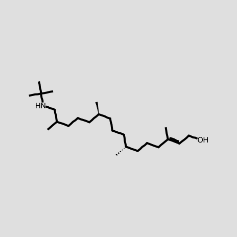 C/C(=C\CO)CCC[C@H](C)CCC[C@H](C)CCCC(C)CNC(C)(C)C